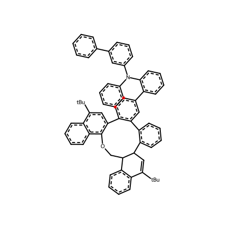 CC(C)(C)C1=CC2c3ccccc3-c3cc(-c4ccccc4N(c4ccccc4)c4cccc(-c5ccccc5)c4)ccc3-c3cc(C(C)(C)C)c4ccccc4c3OCC2c2ccccc21